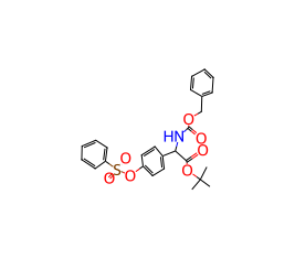 CC(C)(C)OC(=O)C(NC(=O)OCc1ccccc1)c1ccc(OS(=O)(=O)c2ccccc2)cc1